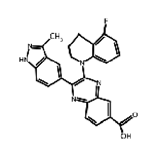 Cc1n[nH]c2ccc(-c3nc4ccc(C(=O)O)cc4nc3N3CCCc4c(F)cccc43)cc12